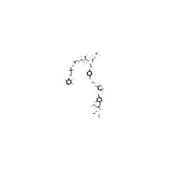 CCCN(CCC)C(=O)C1=Cc2ccc(C(=O)Nc3cncc(CNC(=O)OCc4ccc(NC(=O)[C@H](CCCNC(N)=O)NC(=O)[C@@H](NC(=O)CCC(C)(C)OCCC(C)(C)C5OC5Oc5c(F)c(F)cc(F)c5F)C(C)C)cc4)c3)cc2N=C(N)C1